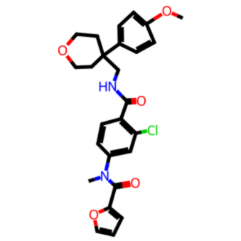 COc1ccc(C2(CNC(=O)c3ccc(N(C)C(=O)c4ccco4)cc3Cl)CCOCC2)cc1